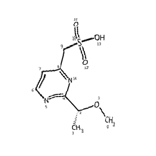 CO[C@H](C)c1nccc(CS(=O)(=O)O)n1